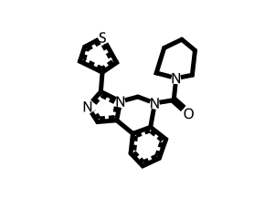 O=C(N1CCCCC1)N1Cn2c(cnc2-c2ccsc2)-c2ccccc21